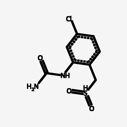 NC(=O)Nc1cc(Cl)ccc1C[SH](=O)=O